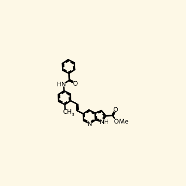 COC(=O)c1cc2cc(C=Cc3cc(NC(=O)c4ccccc4)ccc3C)cnc2[nH]1